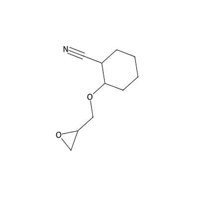 N#CC1CCCCC1OCC1CO1